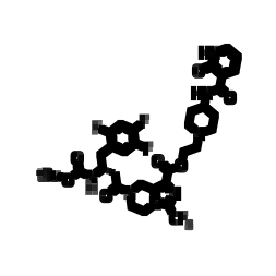 CC(C)(C)OC(=O)N[C@@H](CC(=O)N1CCn2c(C(F)(F)F)nc(C(=O)OCCN3CCC(NC(=O)c4ccc[nH]c4=O)CC3)c2C1)Cc1cc(F)c(F)cc1F